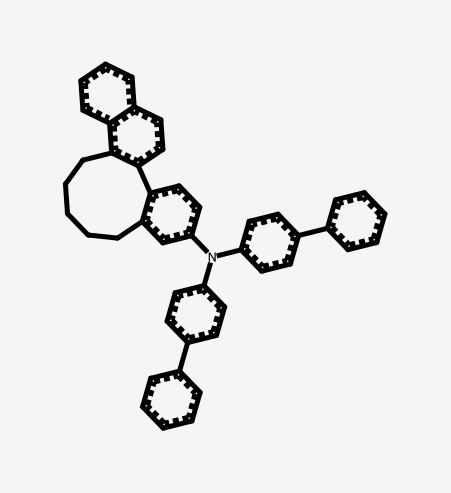 c1ccc(-c2ccc(N(c3ccc(-c4ccccc4)cc3)c3ccc4c(c3)CCCCCc3c-4ccc4ccccc34)cc2)cc1